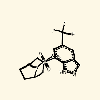 CS(=O)(=O)N1C2CCC1CN(c1cc(C(F)(F)F)cc3cn[nH]c13)C2